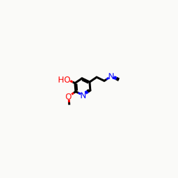 C=NCCc1cnc(OC)c(O)c1